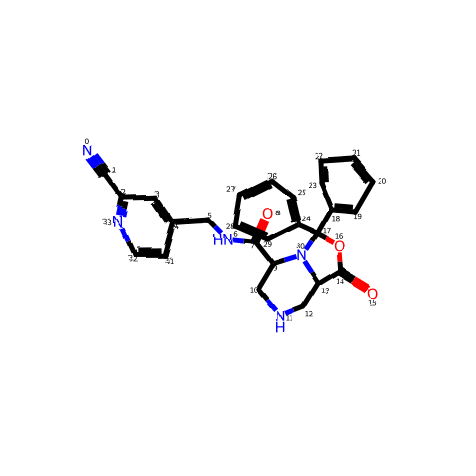 N#Cc1cc(CNC(=O)C2CNCC3C(=O)OC(c4ccccc4)(c4ccccc4)N23)ccn1